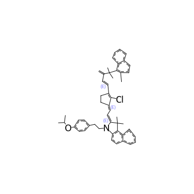 C=C(/C=C/C1=C(Cl)C(=C/C=C2/N(CCc3ccc(OC(C)C)cc3)c3ccc4ccccc4c3C2(C)C)/CC1)C(C)(C)c1c(C)ccc2ccccc12